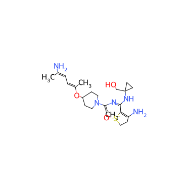 C=C(/N=C(/NC1(CO)CC1)C1=C(N)CC[S+]1[O-])N1CCC(O/C(C)=C/C=C(\C)N)CC1